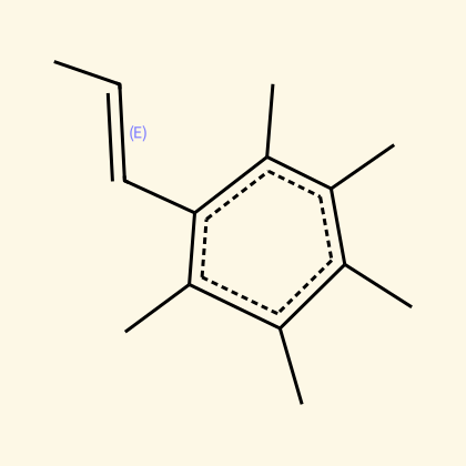 C/C=C/c1c(C)c(C)c(C)c(C)c1C